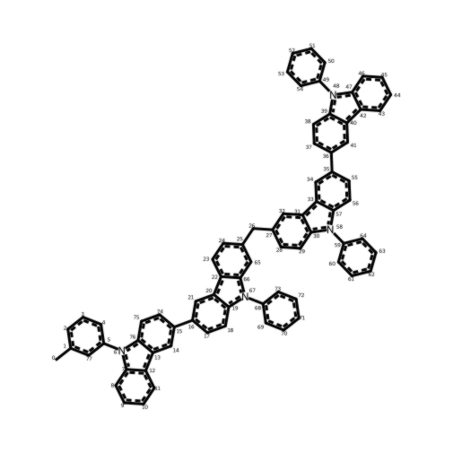 Cc1cccc(-n2c3ccccc3c3cc(-c4ccc5c(c4)c4ccc(Cc6ccc7c(c6)c6cc(-c8ccc9c(c8)c8ccccc8n9-c8ccccc8)ccc6n7-c6ccccc6)cc4n5-c4ccccc4)ccc32)c1